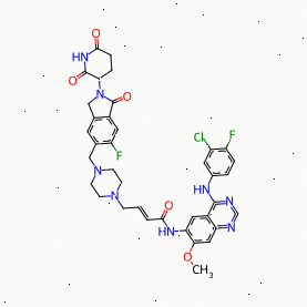 COc1cc2ncnc(Nc3ccc(F)c(Cl)c3)c2cc1NC(=O)/C=C/CN1CCN(Cc2cc3c(cc2F)C(=O)N(C2CCC(=O)NC2=O)C3)CC1